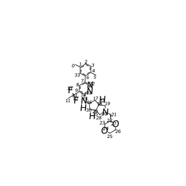 Cc1ccc(C)c(-c2cc(C(C)(F)F)c(N[C@H]3C[C@@H]4CN(C[C@@H]5COCCO5)C[C@@H]4C3)nn2)c1